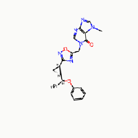 CCC[C@H](Oc1ccccc1)[C@@H]1C[C@H]1c1noc(Cn2cnc3ncn(C)c3c2=O)n1